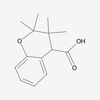 CC1(C)Oc2ccccc2C(C(=O)O)C1(C)C